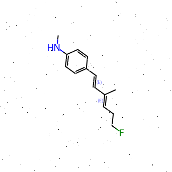 CNc1ccc(/C=C/C(C)=C/CCF)cc1